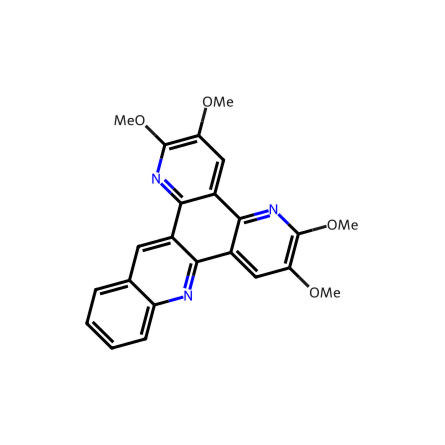 COc1cc2c(nc1OC)c1cc(OC)c(OC)nc1c1cc3ccccc3nc21